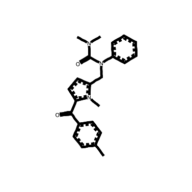 Cc1ccc(C(=O)c2ccc(CN(C(=O)N(C)C)c3ccccc3)n2C)cc1